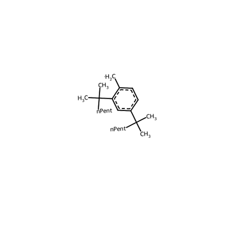 [CH2]c1ccc(C(C)(C)CCCCC)cc1C(C)(C)CCCCC